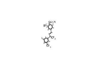 Cc1cc(C(/C=C/c2ccc(C(=O)O)c(Br)c2)C(F)(F)F)cc(C(F)(F)F)c1